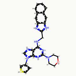 c1ccc2cc3[nH]c(CNc4nc(N5CCOCC5)nc5c4ncn5-c4ccsc4)nc3cc2c1